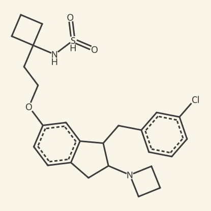 O=[SH](=O)NC1(CCOc2ccc3c(c2)C(Cc2cccc(Cl)c2)C(N2CCC2)C3)CCC1